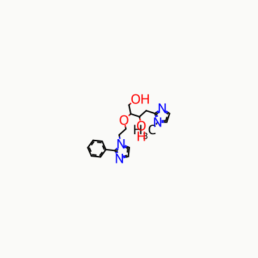 Cn1ccnc1CC(O)C(CO)OCCn1ccnc1-c1ccccc1